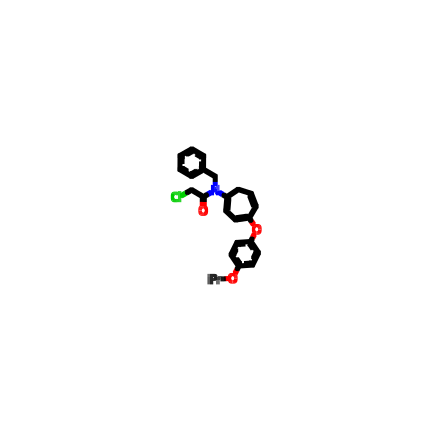 CC(C)Oc1ccc(OC2=CC=C(N(Cc3ccccc3)C(=O)CCl)CC=C2)cc1